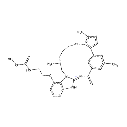 Cc1cc2cc(n1)-c1cnn(C)c1OCCCC(C)CN1/C(=N/C2=O)Nc2cccc(OCCNC(=O)OC(C)(C)C)c21